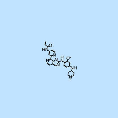 C=CC(=O)Nc1ccnc(-c2nccc3cnc(Nc4ccc(NC5CCN(C)CC5)cc4OC)nc23)c1